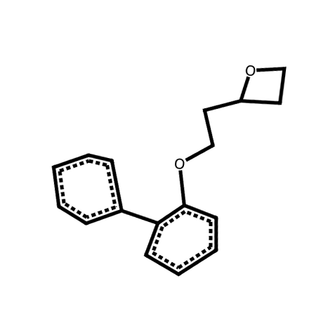 c1ccc(-c2ccccc2OCCC2CCO2)cc1